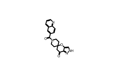 O=C1CC2(CCN(C(=O)c3ccc4ncccc4c3)CC2)Oc2c[nH]nc21